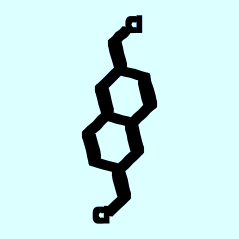 ClC=c1ccc2cc(=CCl)ccc2c1